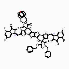 O=C1C(=O)c2c(F)cc(F)cc2/C1=C/c1cc2c(s1)-c1sc3c4c(sc3c1OC2(C(=O)OCc1ccccc1)C(=O)OCc1ccccc1)-c1sc(/C=C2\C(=O)C(=O)c3c(F)cc(F)cc32)cc1C(C(=O)OCc1ccccc1)(C(=O)OCc1ccccc1)O4